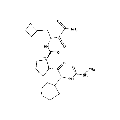 CC(C)(C)NC(=O)NC(C(=O)N1CCC[C@H]1C(=O)NC(CC1CCC1)C(=O)C(N)=O)C1CCCCC1